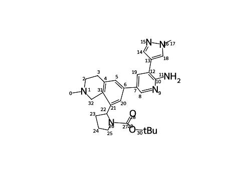 CN1CCc2cc(-c3cnc(N)c(-c4cnn(C)c4)c3)cc(C3CCCN3C(=O)OC(C)(C)C)c2C1